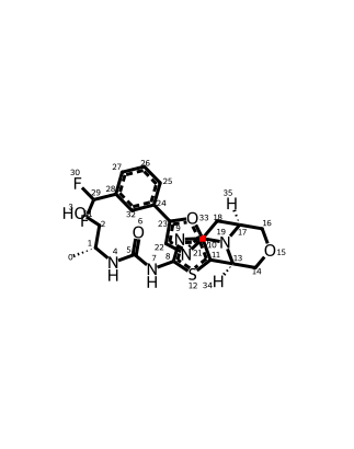 C[C@H](CO)NC(=O)Nc1nc2c(s1)[C@@H]1COC[C@H](C2)N1c1ncc(-c2cccc(C(F)F)c2)o1